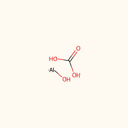 O=C(O)O.[OH][Al]